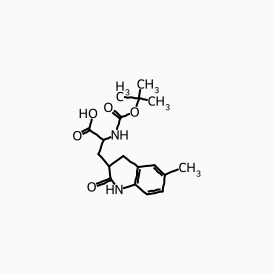 Cc1ccc2c(c1)CC(CC(NC(=O)OC(C)(C)C)C(=O)O)C(=O)N2